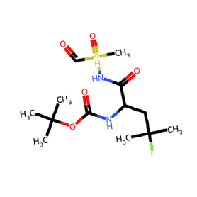 CC(C)(F)CC(NC(=O)OC(C)(C)C)C(=O)N[SH](C)(=O)C=O